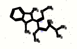 C=C(/C=C(OC)\C(=C\OC)C1N(C)c2ccccc2N1C)N(C)C